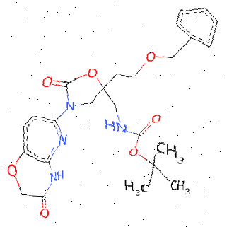 CC(C)(C)OC(=O)NCC1(CCOCc2ccccc2)CN(c2ccc3c(n2)NC(=O)CO3)C(=O)O1